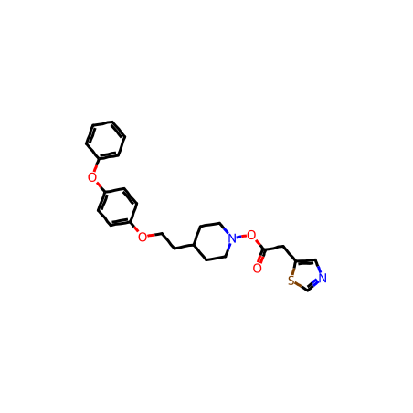 O=C(Cc1cncs1)ON1CCC(CCOc2ccc(Oc3ccccc3)cc2)CC1